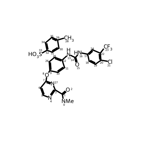 CNC(=O)c1nccc(Oc2ccc(NC(=O)Nc3ccc(Cl)c(C(F)(F)F)c3)cc2)n1.Cc1ccc(S(=O)(=O)O)cc1